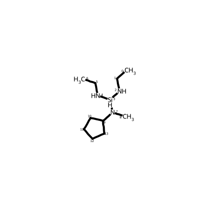 CCN[SiH](NCC)N(C)C1CCCC1